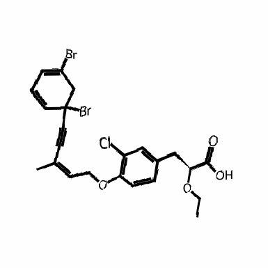 CCO[C@@H](Cc1ccc(OC/C=C(/C)C#CC2(Br)C=CC=C(Br)C2)c(Cl)c1)C(=O)O